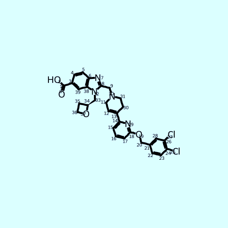 O=C(O)c1ccc2nc(CN3CC=C(c4cccc(OCc5ccc(Cl)c(Cl)c5)n4)CC3)n(C[C@@H]3CCO3)c2c1